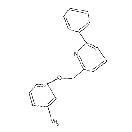 Nc1cccc(OCc2cccc(-c3ccccc3)n2)c1